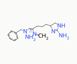 C=N/C(=C\N(N)Cc1ccccc1)CCCC1CNC(N)=N1